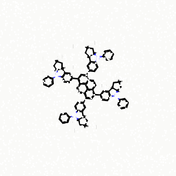 CC1(C)CC2(C)c3cc(-c4cc(-c5ccc6c(c5)C5(C)CC(C)(C)CC5(C)N6c5ccccc5)c5ccc6c(-c7ccc8c(c7)C7(C)CC(C)(C)CC7(C)N8c7ccccc7)cc(-c7ccc8c(c7)C7(C)CC(C)(C)CC7(C)N8c7ccccc7)c7ccc4c5c76)ccc3N(c3ccccc3)C2(C)C1